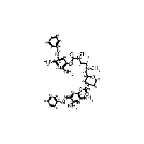 CN(CCN(C)C(=O)Oc1cc(/N=N/c2ccccc2)c(N)nc1N)CC1CN(C(=O)Oc2cc(/N=N/c3ccccc3)c(N)nc2N)CCO1